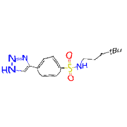 CC(C)(C)CCCNS(=O)(=O)c1ccc(-c2c[nH]nn2)cc1